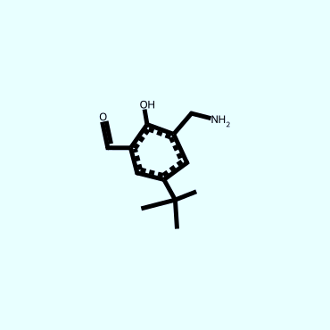 CC(C)(C)c1cc(C=O)c(O)c(CN)c1